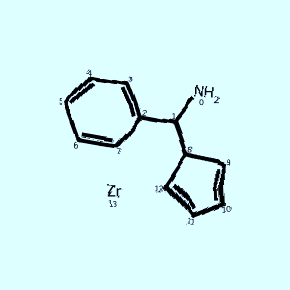 NC(c1cc[c]cc1)C1C=CC=C1.[Zr]